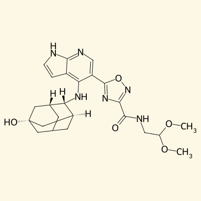 COC(CNC(=O)c1noc(-c2cnc3[nH]ccc3c2N[C@H]2[C@@H]3CC4C[C@H]2C[C@@](O)(C4)C3)n1)OC